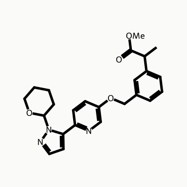 COC(=O)C(C)c1cccc(COc2ccc(-c3ccnn3C3CCCCO3)nc2)c1